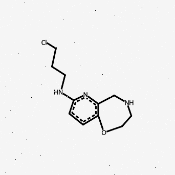 ClCCCNc1ccc2c(n1)CNCCO2